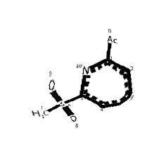 CC(=O)c1cccc(S(C)(=O)=O)n1